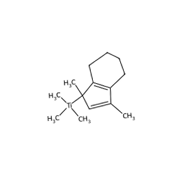 CC1=C[C](C)([Ti]([CH3])([CH3])[CH3])C2=C1CCCC2